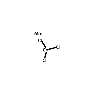 [Cl][Co]([Cl])[Cl].[Mn]